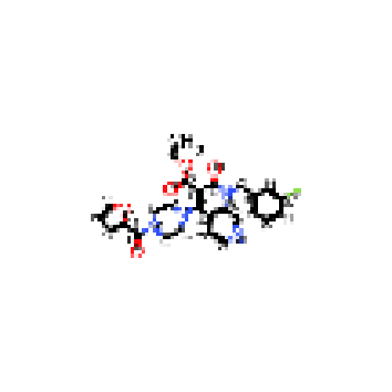 CCOC(=O)c1c(N2CCN(C(=O)c3ccco3)CC2)c2ccncc2n(Cc2cccc(F)c2)c1=O